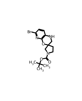 CC(C)(C)OC(=O)N1CCC2(CNc3ccc(Br)nc3O2)C1